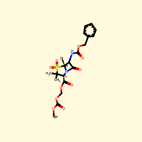 CCCOC(=O)OCOC(=O)[C@@H]1N2C(=O)C(NC(=O)OCc3ccccc3)[C@H]2S(=O)(=O)C1(C)C